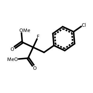 COC(=O)C(F)(Cc1ccc(Cl)cc1)C(=O)OC